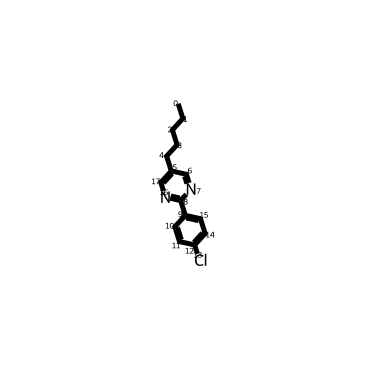 CCCCCc1cnc(-c2ccc(Cl)cc2)nc1